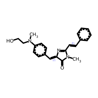 CN1C(=O)/C(=C/c2ccc(N(C)CCO)cc2)N=C1/C=C/c1ccccc1